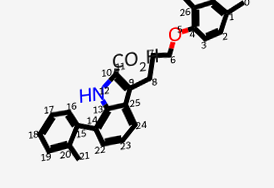 Cc1ccc(OCCCc2c(C(=O)O)[nH]c3c(-c4ccccc4C)cccc23)c(C)c1